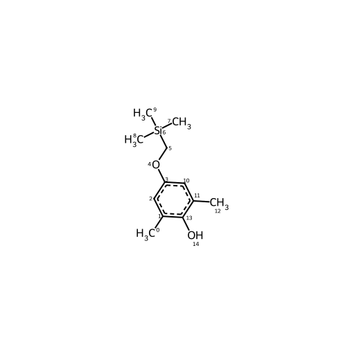 Cc1cc(OC[Si](C)(C)C)cc(C)c1O